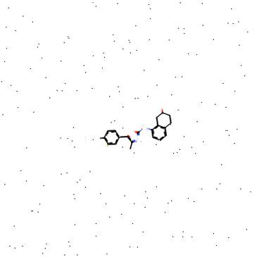 Cc1nc(Nc2cccc3c2CC(O)CC3)oc1-c1ccc(C(F)(F)F)c(F)c1